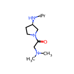 CC(C)N[C@@H]1CCN(C(=O)CN(C)C)C1